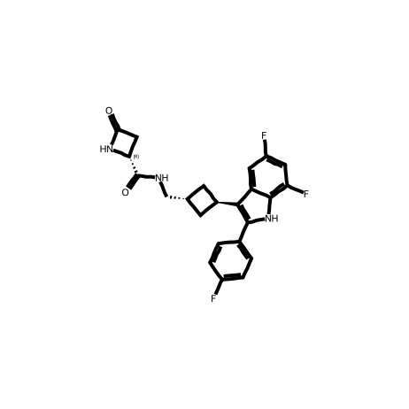 O=C1C[C@H](C(=O)NC[C@H]2C[C@H](c3c(-c4ccc(F)cc4)[nH]c4c(F)cc(F)cc43)C2)N1